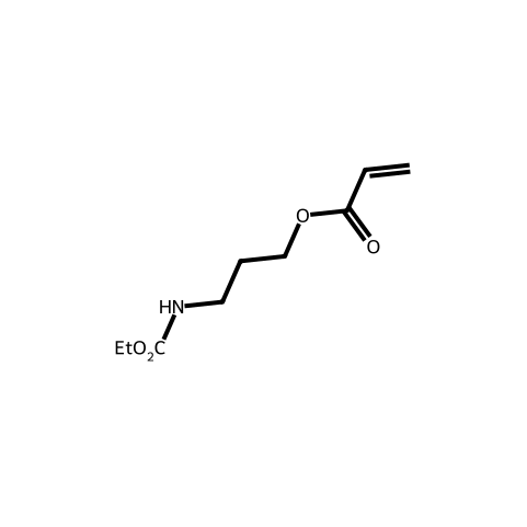 C=CC(=O)OCCCNC(=O)OCC